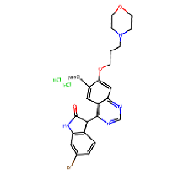 COc1cc2c(C3C(=O)Nc4cc(Br)ccc43)ncnc2cc1OCCCN1CCOCC1.Cl.Cl